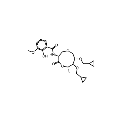 COc1ccnc(C(=O)N[C@H]2COC[C@H](OCC3CC3)[C@@H](OCC3CC3)[C@H](C)OC2=O)c1O